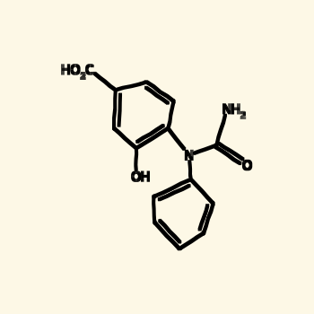 NC(=O)N(c1ccccc1)c1ccc(C(=O)O)cc1O